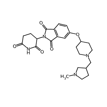 CN1CCC(CN2CCC(Oc3ccc4c(c3)C(=O)N(C3CCC(=O)NC3=O)C4=O)CC2)C1